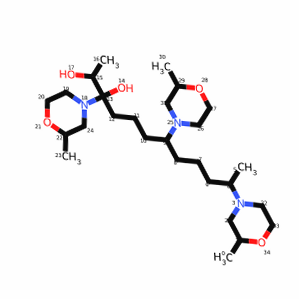 CC1CN(C(C)CCCC(CCCC(O)(C(C)O)N2CCOC(C)C2)N2CCOC(C)C2)CCO1